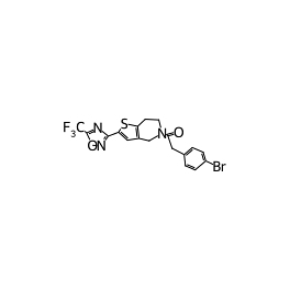 O=C(Cc1ccc(Br)cc1)N1CCc2sc(-c3noc(C(F)(F)F)n3)cc2C1